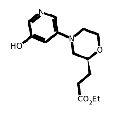 CCOC(=O)CC[C@H]1CN(c2cncc(O)c2)CCO1